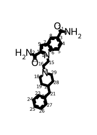 NC(=O)c1ccc2c(c1)cc(C(N)=O)n2CCN1CCC(Cc2ccccc2)CC1